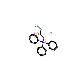 OC(CCl)C[N+](c1ccccc1)(c1ccccc1)c1ccccc1.[Cl-]